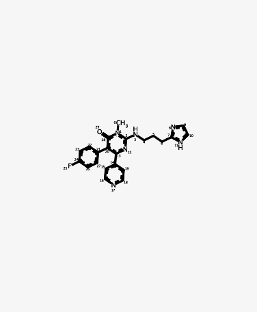 Cn1c(NCCCc2ncc[nH]2)nc(-c2ccncc2)c(-c2ccc(F)cc2)c1=O